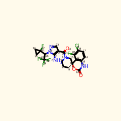 Nc1c(C(=O)N2CCC[C@@]3(C2)OC(=O)Nc2ccc(Cl)c(F)c23)cnn1C(C(F)(F)F)C1(F)CC1